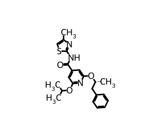 Cc1csc(NC(=O)c2cc(OC(C)C)nc(O[C@H](C)Cc3ccccc3)c2)n1